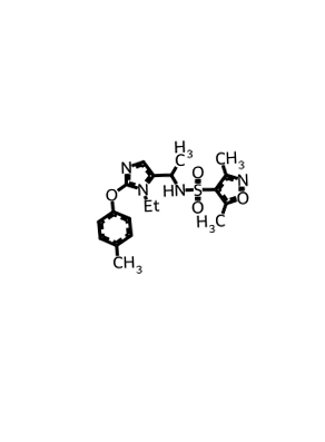 CCn1c(C(C)NS(=O)(=O)c2c(C)noc2C)cnc1Oc1ccc(C)cc1